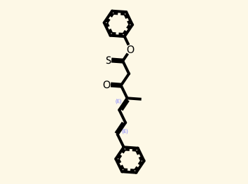 C/C(=C\C=C\c1ccccc1)C(=O)CC(=S)Oc1ccccc1